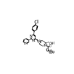 CC(C)(C)OC(=O)N1CCN(c2cc(-c3ccc(Cl)cc3)nc(-c3cccnc3)n2)C[C@H]1CO